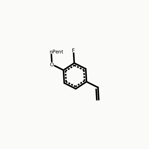 C=Cc1ccc(OCCCCC)c(F)c1